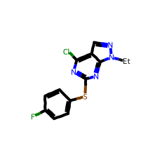 CCn1ncc2c(Cl)nc(Sc3ccc(F)cc3)nc21